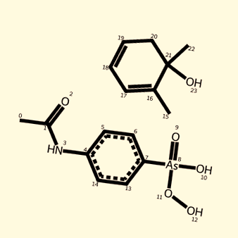 CC(=O)Nc1ccc([As](=O)(O)OO)cc1.CC1=CC=CCC1(C)O